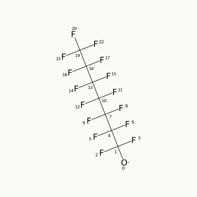 [O]C(F)(F)C(F)(F)C(F)(F)C(F)(F)C(F)(F)C(F)(F)C(F)(F)F